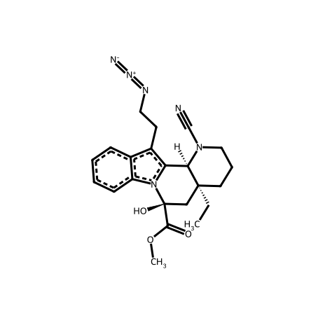 CC[C@@]12CCCN(C#N)[C@@H]1c1c(CCN=[N+]=[N-])c3ccccc3n1[C@@](O)(C(=O)OC)C2